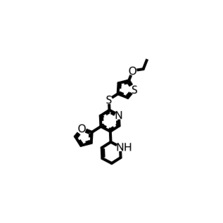 CCOc1cc(Sc2cc(-c3ccco3)c(C3C=CCCN3)cn2)cs1